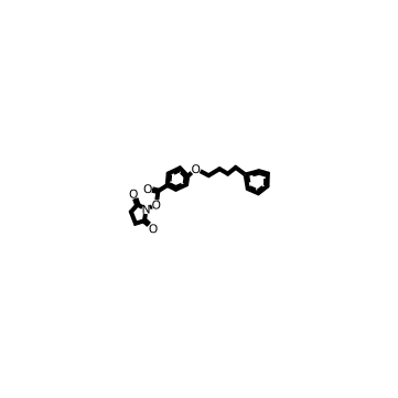 O=C(ON1C(=O)CCC1=O)c1ccc(OCCCCc2ccccc2)cc1